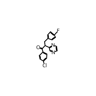 O=C(c1ccc(Cl)cc1)C(Cc1ccc(F)cc1)c1cnccn1